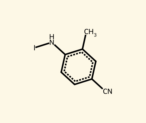 Cc1cc(C#N)ccc1NI